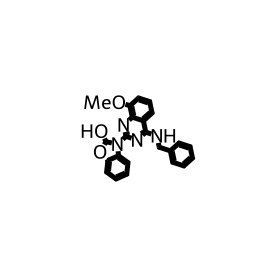 COc1cccc2c(NCc3ccccc3)nc(N3c4ccccc4OC3O)nc12